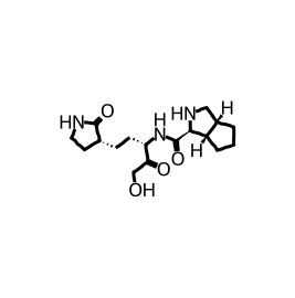 O=C1NCC[C@H]1CC[C@H](NC(=O)[C@H]1NC[C@@H]2CCC[C@@H]21)C(=O)CO